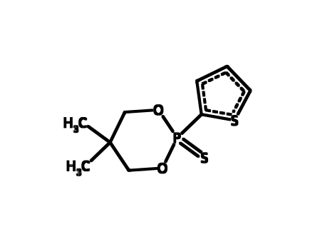 CC1(C)COP(=S)(c2cccs2)OC1